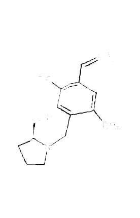 C=Cc1cc(OC)c(CN2CCC[C@H]2C(=O)O)cc1C(F)(F)F